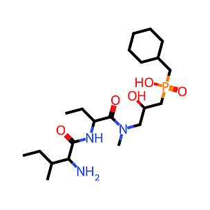 CCC(NC(=O)C(N)C(C)CC)C(=O)N(C)CC(O)CP(=O)(O)CC1CCCCC1